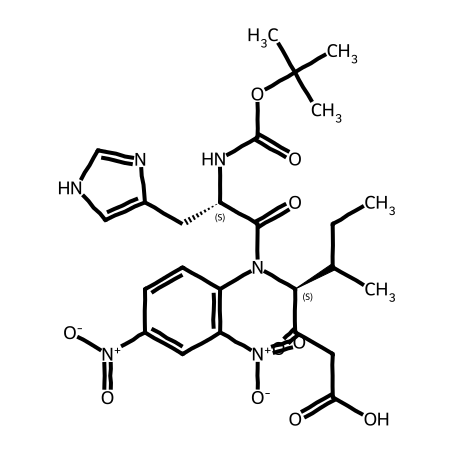 CCC(C)[C@@H](C(=O)CC(=O)O)N(C(=O)[C@H](Cc1c[nH]cn1)NC(=O)OC(C)(C)C)c1ccc([N+](=O)[O-])cc1[N+](=O)[O-]